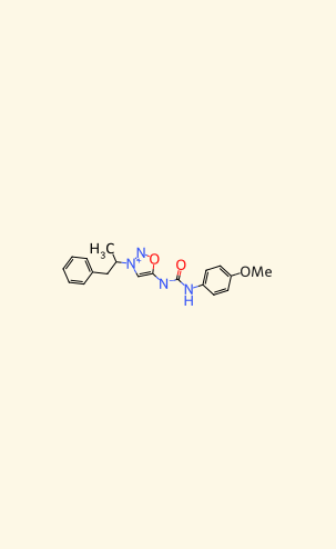 COc1ccc(NC(=O)[N-]c2c[n+](C(C)Cc3ccccc3)no2)cc1